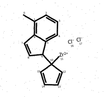 Cc1cccc2c1C=CC2[C]1([Zr+2])C=CC=C1.[Cl-].[Cl-]